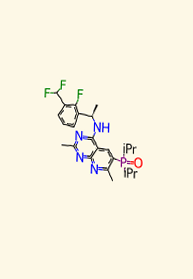 Cc1nc(N[C@H](C)c2cccc(C(F)F)c2F)c2cc(P(=O)(C(C)C)C(C)C)c(C)nc2n1